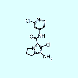 Nc1c(Cl)c(C(=O)Nc2ccnc(Cl)c2)n2c1CCC2